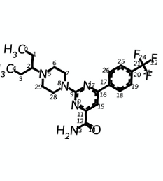 CCC(CC)N1CCN(c2nc(C(N)=O)cc(-c3ccc(C(F)(F)F)cc3)n2)CC1